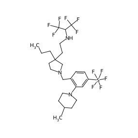 CCCC1(CCNC(C(F)(F)F)C(F)(F)F)CCN(Cc2ccc(S(F)(F)(F)(F)F)cc2N2CCC(C)CC2)C1